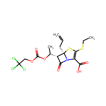 C=CC[C@]12SC(SCC)=C(C(=O)O)N1C(=O)[C@@H]2C(C)OC(=O)OCC(Cl)(Cl)Cl